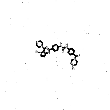 CCN1CCN(C(=O)c2ccc(NC(=O)Nc3ccc(-c4nc(N5CCOCC5)c5c(ccn5CC)n4)cc3)cc2)CC1